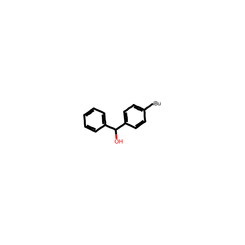 CCC(C)c1ccc(C(O)c2ccccc2)cc1